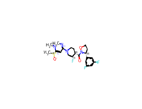 C=N/C(=C\C(=N/C)N1CC[C@H](C(=O)N2OCC[C@@H]2c2cc(F)cc(F)c2)[C@H](F)C1)[S@+](C)[O-]